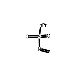 C=NS(=O)(=O)CCC